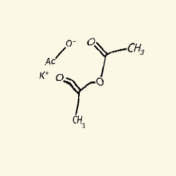 CC(=O)OC(C)=O.CC(=O)[O-].[K+]